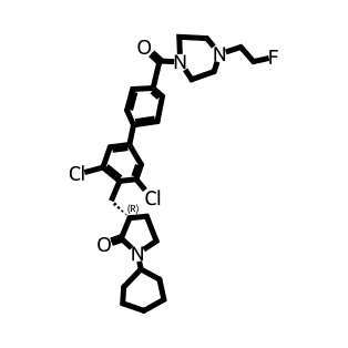 O=C(c1ccc(-c2cc(Cl)c(C[C@@H]3CCN(C4CCCCC4)C3=O)c(Cl)c2)cc1)N1CCN(CCF)CC1